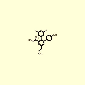 CCCc1cc(/C(N)=N/O)c(-c2cc(F)cc(F)c2)c(-c2ccc(O)cc2)c1